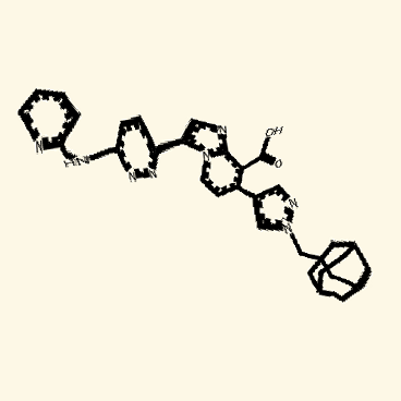 O=C(O)c1c(-c2cnn(CC34CC5CC(CC(C5)C3)C4)c2)ccn2c(-c3ccc(Nc4ccccn4)nn3)cnc12